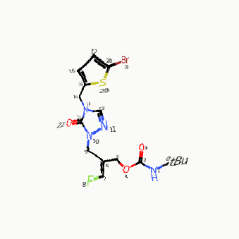 CC(C)(C)NC(=O)OC/C(=C/F)Cn1ncn(Cc2ccc(Br)s2)c1=O